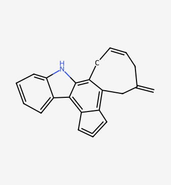 C=C1C/C=C\Cc2c(c3c(c4c2[nH]c2ccccc24)C=C=C3)C1